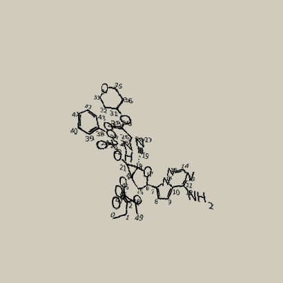 CCC(=O)O[C@H]1[C@H](c2ccc3c(N)ncnn23)O[C@]2(C#N)C(O[P@@](=O)(N[C@@H](C)C(=O)OC3CCOCC3)Oc3ccccc3)[C@]12OC(=O)CC